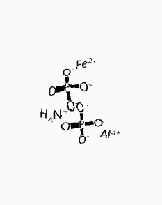 O=P([O-])([O-])[O-].O=P([O-])([O-])[O-].[Al+3].[Fe+2].[NH4+]